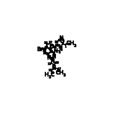 C=CC(=O)N1CCN(c2nc(N3CC(N(CC)CC)C3)nc3cc(Br)c4ccoc4c23)C[C@@H]1CC#N